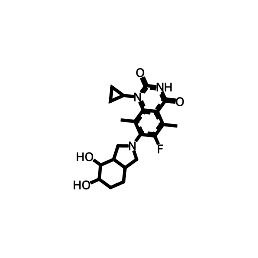 Cc1c(F)c(N2CC3CCC(O)C(O)C3C2)c(C)c2c1c(=O)[nH]c(=O)n2C1CC1